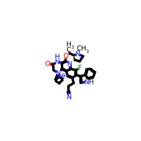 C[C@H](Oc1nc2c(F)c(-c3c[nH]c4ccccc34)c(CCC#N)cc2c2c1NC(=O)CN2C1C2CNC1C2)[C@@H]1CCCN1C